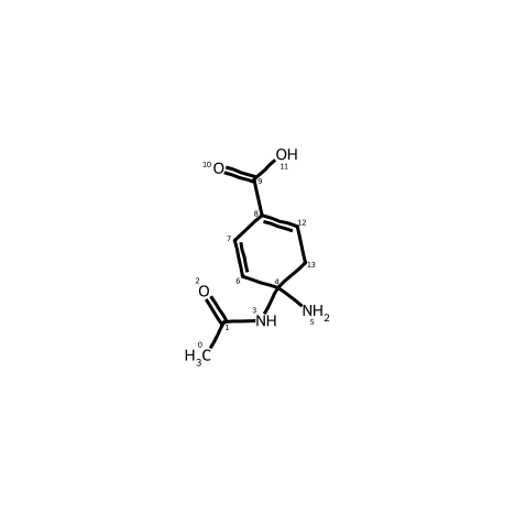 CC(=O)NC1(N)C=CC(C(=O)O)=CC1